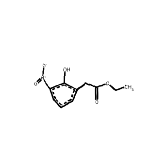 CCOC(=O)Cc1cccc([N+](=O)[O-])c1O